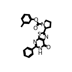 Cc1cccc(OC(=O)N2CCCC2c2nc3c(=O)[nH]c(-c4ccccc4)nc3s2)c1